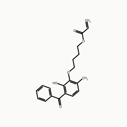 C=CC(=O)OCCCCOc1c(C)ccc(C(=O)c2ccccc2)c1O